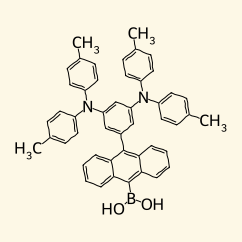 Cc1ccc(N(c2ccc(C)cc2)c2cc(-c3c4ccccc4c(B(O)O)c4ccccc34)cc(N(c3ccc(C)cc3)c3ccc(C)cc3)c2)cc1